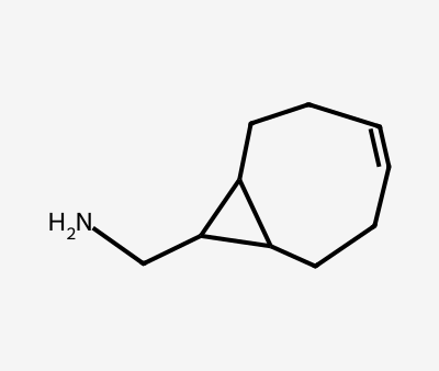 NCC1C2CC/C=C\CCC12